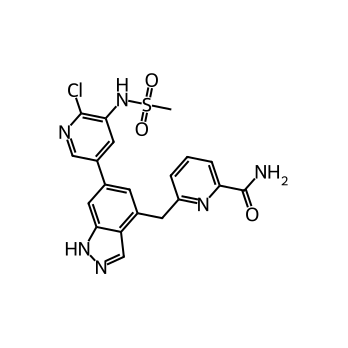 CS(=O)(=O)Nc1cc(-c2cc(Cc3cccc(C(N)=O)n3)c3cn[nH]c3c2)cnc1Cl